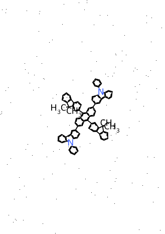 CC1(C)c2ccccc2-c2ccc(-c3c4ccc(-c5ccc6c(c5)c5ccccc5n6-c5ccccc5)cc4c(-c4ccc5c(c4)C(C)(C)c4ccccc4-5)c4ccc(-c5ccc6c(c5)c5ccccc5n6-c5ccccc5)cc34)cc21